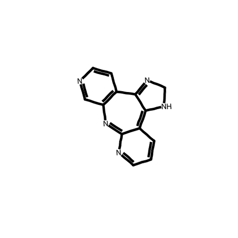 c1cnc2c(c1)=C1NCN=C1c1ccncc1N=2